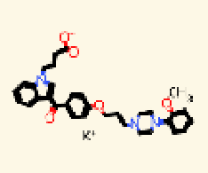 COc1ccccc1N1CCN(CCCOc2ccc(C(=O)c3cn(CCCC(=O)[O-])c4ccccc34)cc2)CC1.[K+]